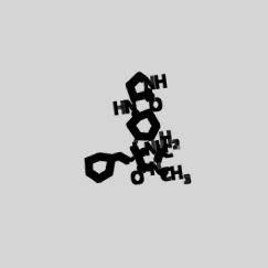 C=C1N[C@](CCC2CCCCC2)(C[C@H]2CCCC(N[C@@H]3CCNC3=O)C2)C(=O)N1C